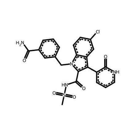 CS(=O)(=O)NC(=O)c1c(-c2ccc[nH]c2=O)c2cc(Cl)ccc2n1Cc1cccc(C(N)=O)c1